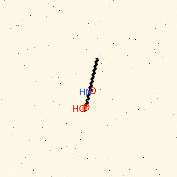 CCCCCCCCCCCCCCCC(=O)NCCCCCCOP(C)O